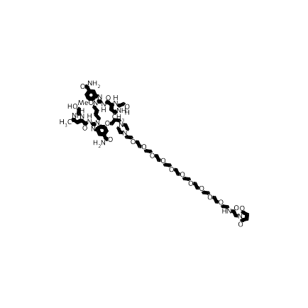 COc1cc(C(N)=O)cc2nc(NC(=O)/C(=C/C(C)=N)NCCO)n(C/C=C/Cn3c(NC(=O)/C(=C/C(C)=N)NCCO)nc4cc(C(N)=O)cc(OCCCN5CCN(CCOCCOCCOCCOCCOCCOCCOCCOCCOCCOCCNC(=O)CN6C(=O)C=CC6=O)CC5)c43)c12